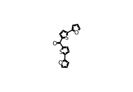 O=C(c1ccc(-c2ccco2)s1)c1ccc(-c2ccco2)s1